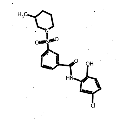 CC1CCCN(S(=O)(=O)c2cccc(C(=O)Nc3cc(Cl)ccc3O)c2)C1